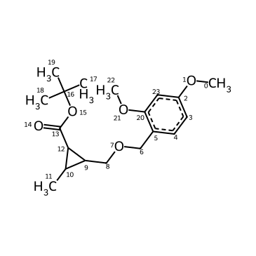 COc1ccc(COCC2C(C)C2C(=O)OC(C)(C)C)c(OC)c1